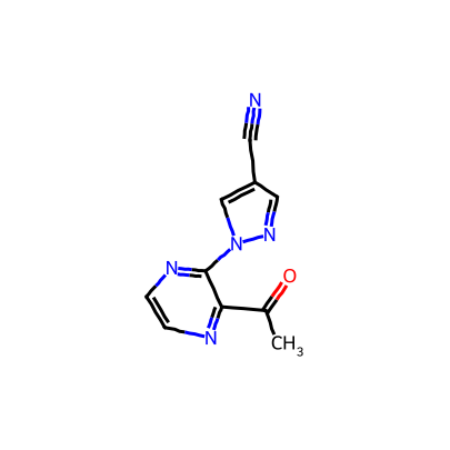 CC(=O)c1nccnc1-n1cc(C#N)cn1